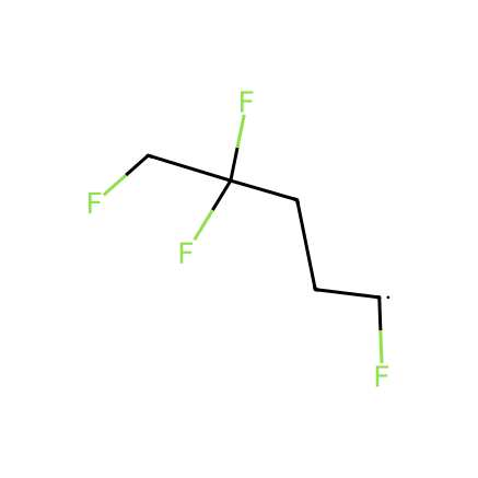 F[CH]CCC(F)(F)CF